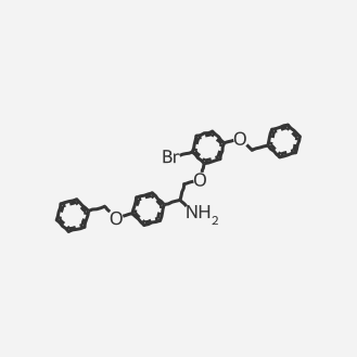 NC(COc1cc(OCc2ccccc2)ccc1Br)c1ccc(OCc2ccccc2)cc1